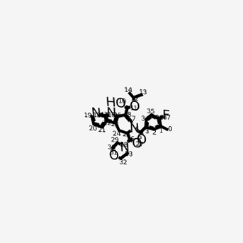 Cc1cc(C(=O)N2C=C(C(=O)OC(C)C)c3[nH]c4ncccc4c3CC2C(=O)N2CCOCC2)ccc1F